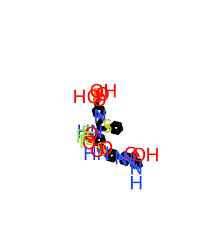 O=C(O)C1(N2CCN(c3ccc(NS(=O)(=O)c4ccc(NC(CCN5CCC(COP(=O)(O)O)CC5)CSc5ccccc5)c(S(=O)(=O)C(F)(F)F)c4)cc3)CC2)C=CNC1